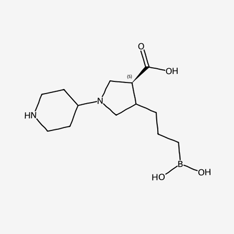 O=C(O)[C@@H]1CN(C2CCNCC2)CC1CCCB(O)O